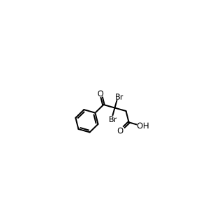 O=C(O)CC(Br)(Br)C(=O)c1ccccc1